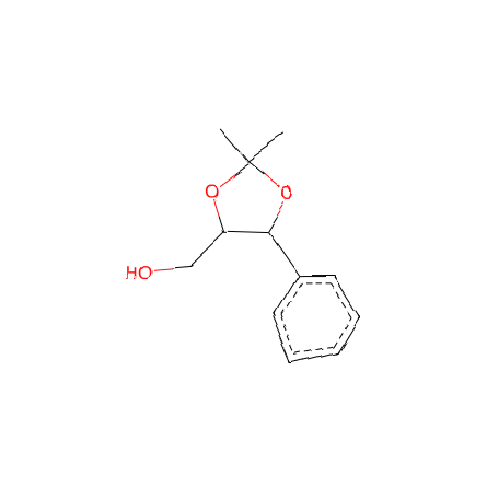 CC1(C)OC(CO)C(c2ccccc2)O1